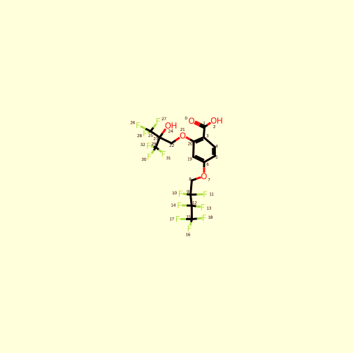 O=C(O)c1ccc(OCC(F)(F)C(F)(F)C(F)(F)F)cc1OCC(O)(C(F)(F)F)C(F)(F)F